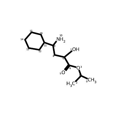 CC(C)OC(=O)C(O)CC(N)C1CCCCC1